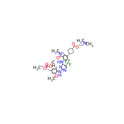 CCOP(=O)(Cc1ccc(Nc2ncc(C(F)(F)F)c(Nc3ccc(C4CCC(C(=O)OCCN(C)C)CC4)c4c3C(=O)N(C)C4)n2)c(OC)c1)OCC